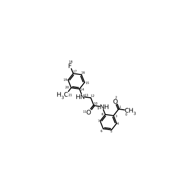 CC(=O)c1ccccc1NC(=O)CNc1ccc(F)cc1C